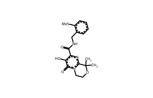 CSc1ccccc1CNC(=O)c1nc2n(c(=O)c1O)CCOC2(C)C